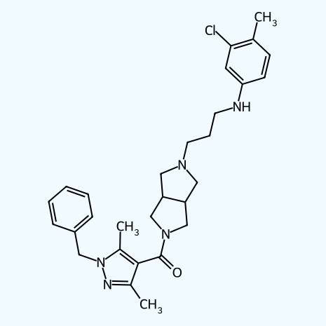 Cc1ccc(NCCCN2CC3CN(C(=O)c4c(C)nn(Cc5ccccc5)c4C)CC3C2)cc1Cl